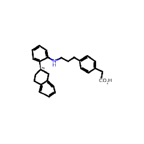 O=C(O)Cc1ccc(CCCNc2ccccc2[C@@H]2CCc3c[c]ccc3C2)cc1